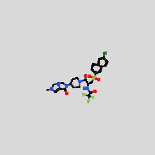 CN1C=C2C(=O)N(C3CCN(C(=O)[C@@H](CS(=O)(=O)c4ccc5cc(Cl)ccc5c4)NC(=O)C(F)(F)F)CC3)CN2C1